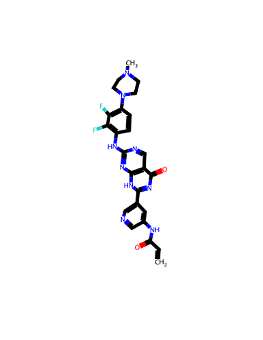 C=CC(=O)Nc1cncc(-c2nc(=O)c3cnc(Nc4ccc(N5CCN(C)CC5)c(F)c4F)nc3[nH]2)c1